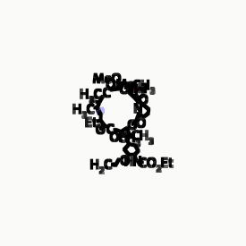 C=CCOC1CC(C=C(C)C2OC(=O)C3CCCCN3C(=O)C(=O)C3(O)OC(C(OC)CC(C)C(F)/C(C)=C/C(CC)C(=O)CC(O)C2C)C(OC)CC3C)CCC1NC(=O)OCC